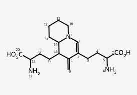 C=C1C(CCC(N)C(=O)O)=CN2CCCCC2C1CCC(N)C(=O)O